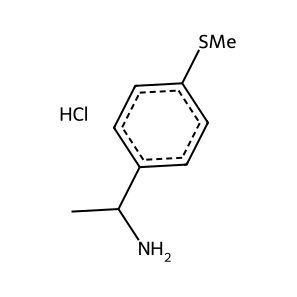 CSc1ccc(C(C)N)cc1.Cl